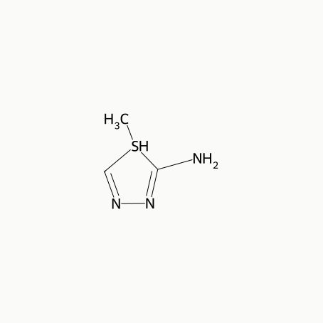 C[SH]1C=NN=C1N